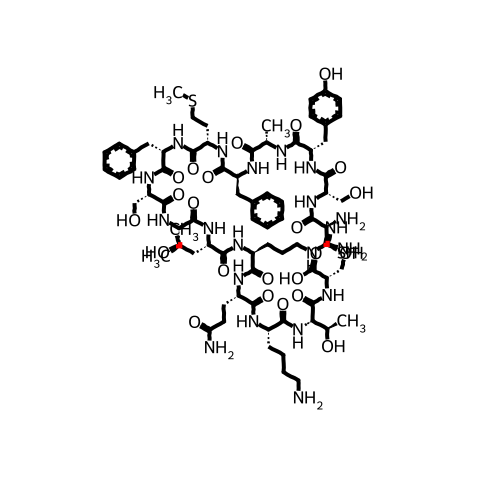 CSCC[C@H](NC(=O)[C@H](Cc1ccccc1)NC(=O)[C@H](C)NC(=O)[C@H](Cc1ccc(O)cc1)NC(=O)[C@H](CO)NC(=O)[C@@H](N)CS)C(=O)N[C@@H](Cc1ccccc1)C(=O)N[C@@H](CO)C(=O)N[C@@H](CO)C(=O)N[C@@H](CC(C)C)C(=O)N[C@@H](CCCNC(=N)N)C(=O)N[C@@H](CCC(N)=O)C(=O)N[C@@H](CCCCN)C(=O)N[C@H](C(=O)N[C@@H](CO)C(=O)O)[C@@H](C)O